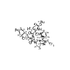 CC(C)(C)OC(=O)NC(C)(C)C(=O)NC(CCc1ccc(F)cc1C(=O)O)C(=O)N1CCC2=NN(CC(F)(F)F)C(=O)[C@]2(Cc2ccccn2)C1